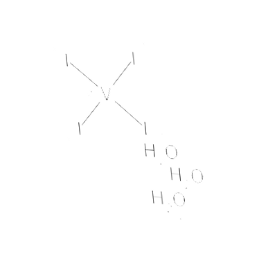 O.O.O.[I][V]([I])([I])[I]